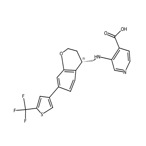 O=C(O)c1ccncc1NC[C@H]1CCOc2cc(-c3csc(C(F)(F)F)c3)ccc21